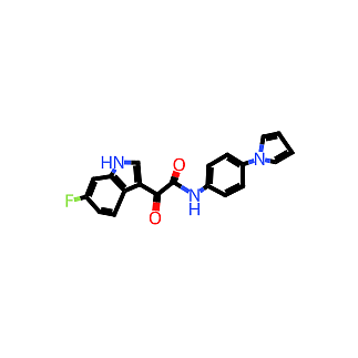 O=C(Nc1ccc(-n2cccc2)cc1)C(=O)c1c[nH]c2cc(F)ccc12